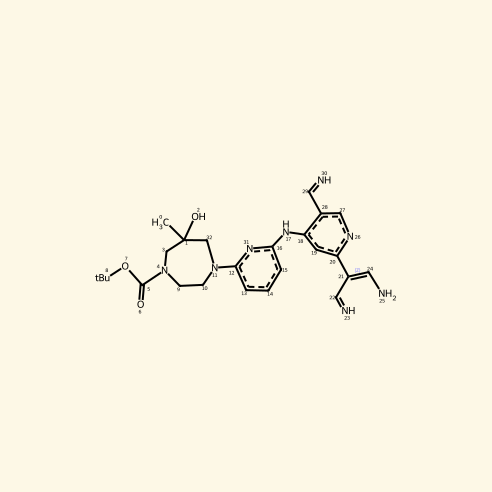 CC1(O)CN(C(=O)OC(C)(C)C)CCN(c2cccc(Nc3cc(/C(C=N)=C/N)ncc3C=N)n2)C1